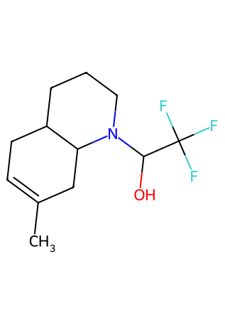 CC1=CCC2CCCN(C(O)C(F)(F)F)C2C1